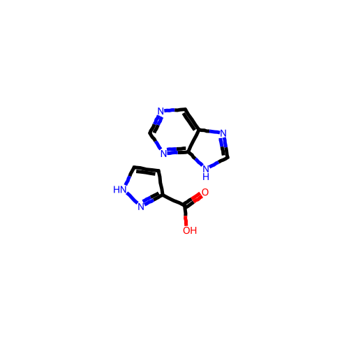 O=C(O)c1cc[nH]n1.c1ncc2nc[nH]c2n1